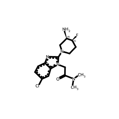 CN(C)C(=O)Cn1c(N2CC[C@H](F)[C@H](N)C2)nc2ccc(Cl)cc21